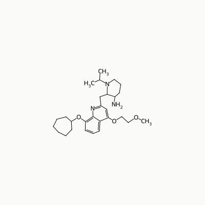 COCCOc1cc(CC2C(N)CCCN2C(C)C)nc2c(OC3CCCCCC3)cccc12